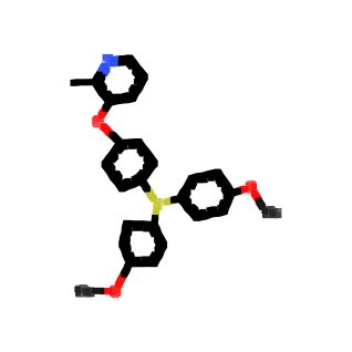 Cc1ncccc1Oc1ccc([S+](c2ccc(OC(C)(C)C)cc2)c2ccc(OC(C)(C)C)cc2)cc1